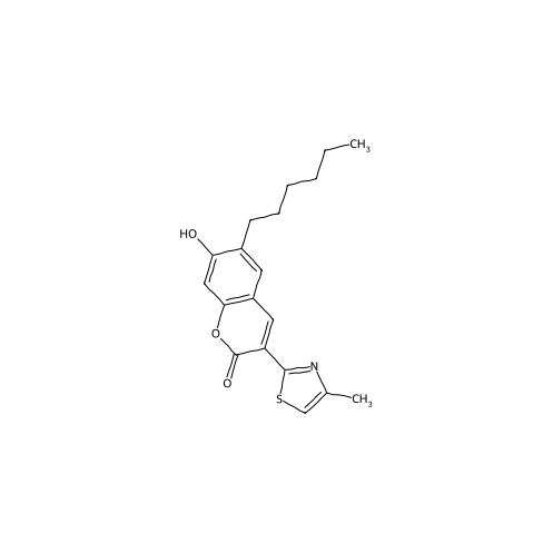 CCCCCCc1cc2cc(-c3nc(C)cs3)c(=O)oc2cc1O